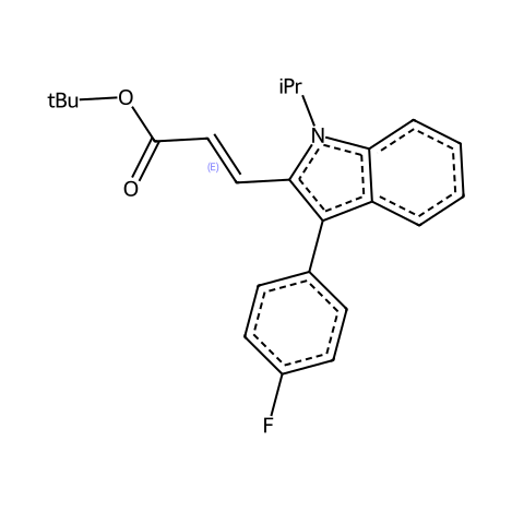 CC(C)n1c(/C=C/C(=O)OC(C)(C)C)c(-c2ccc(F)cc2)c2ccccc21